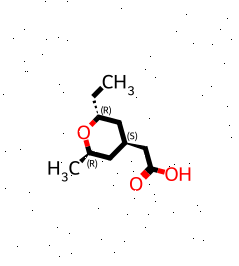 CC[C@@H]1C[C@@H](CC(=O)O)C[C@@H](C)O1